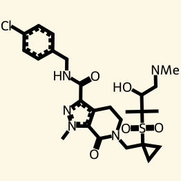 CNCC(O)C(C)(C)S(=O)(=O)C1(CN2CCc3c(C(=O)NCc4ccc(Cl)cc4)nn(C)c3C2=O)CC1